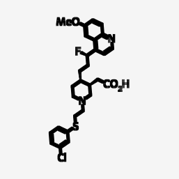 COc1ccc2nccc([C@H](F)CC[C@@H]3CCN(CCSc4cccc(Cl)c4)C[C@@H]3CC(=O)O)c2c1